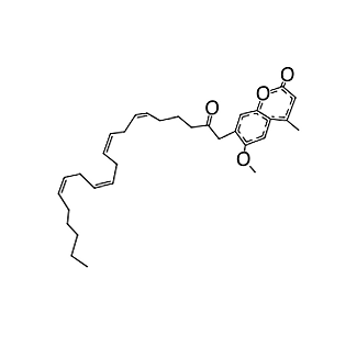 CCCCC/C=C\C/C=C\C/C=C\C/C=C\CCCC(=O)Cc1cc2oc(=O)cc(C)c2cc1OC